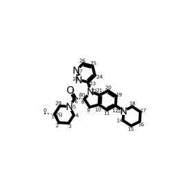 C[C@H]1CCCN(C(=O)[C@H]2Cc3cc(N4CCCCC4)ccc3N2c2cccnn2)C1